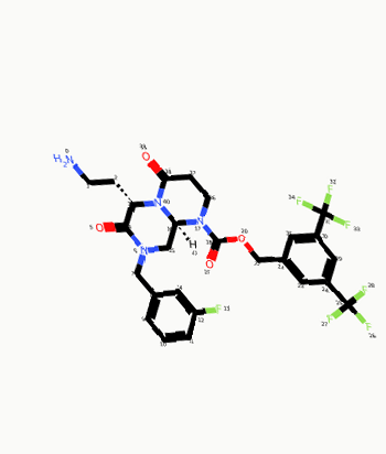 NCC[C@H]1C(=O)N(Cc2cccc(F)c2)C[C@@H]2N(C(=O)OCc3cc(C(F)(F)F)cc(C(F)(F)F)c3)CCC(=O)N21